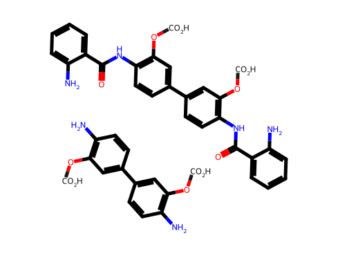 Nc1ccc(-c2ccc(N)c(OC(=O)O)c2)cc1OC(=O)O.Nc1ccccc1C(=O)Nc1ccc(-c2ccc(NC(=O)c3ccccc3N)c(OC(=O)O)c2)cc1OC(=O)O